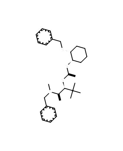 CN(Cc1ccccc1)C(=O)[C@@H](NC(=S)N[C@@H]1CCCC[C@H]1NCc1ccccc1)C(C)(C)C